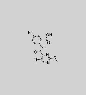 CSc1ncc(Cl)c(C(=O)Nc2ccc(Br)cc2C(=O)O)n1